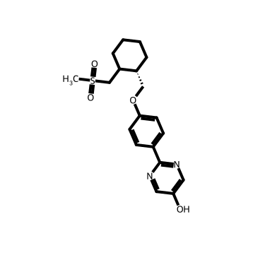 CS(=O)(=O)CC1CCCC[C@@H]1COc1ccc(-c2ncc(O)cn2)cc1